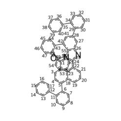 O=c1c2ccc(-c3ccccc3-c3ccccc3)c3cccc(c32)c2nc3cc(-c4ccccc4-c4ccccc4)cc(-c4ccccc4-c4ccccc4)c3n12